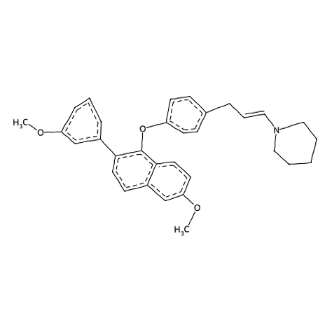 COc1cccc(-c2ccc3cc(OC)ccc3c2Oc2ccc(CC=CN3CCCCC3)cc2)c1